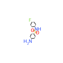 Nc1ccc(S(=O)(=O)Nc2ccc(F)cc2)cc1